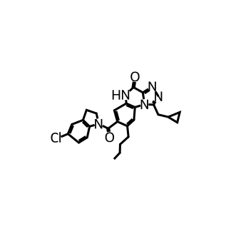 CCCCc1cc2c(cc1C(=O)N1CCc3cc(Cl)ccc31)[nH]c(=O)c1nnc(CC3CC3)n12